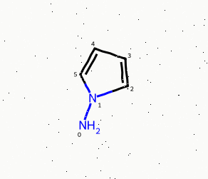 Nn1[c]ccc1